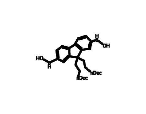 CCCCCCCCCCCCC1(CCCCCCCCCCCC)c2cc(BO)ccc2-c2ccc(BO)cc21